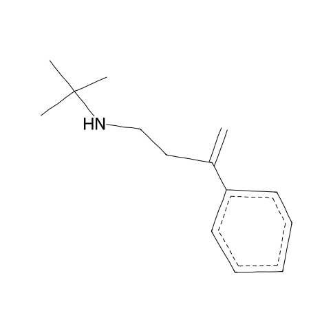 C=C(CCNC(C)(C)C)c1ccccc1